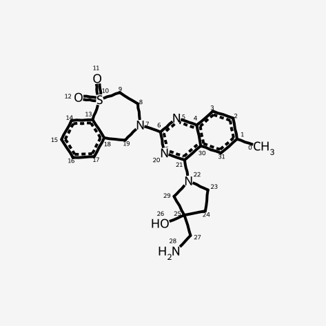 Cc1ccc2nc(N3CCS(=O)(=O)c4ccccc4C3)nc(N3CCC(O)(CN)C3)c2c1